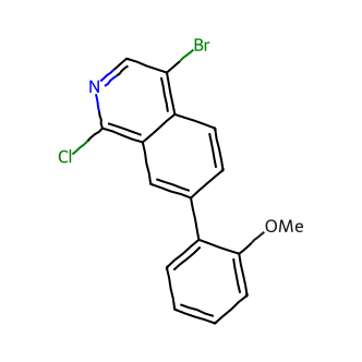 COc1ccccc1-c1ccc2c(Br)cnc(Cl)c2c1